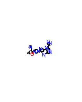 CC(C)C[C@@H](CN(C)C)C(=O)N1CCN(c2ccc(-c3nc(-c4cnn(C)c4)cn4ncc(C#N)c34)cn2)CC1